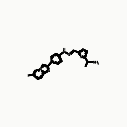 CC(N)c1csc(C=NNc2ccc(-c3cn4cc(I)ccc4n3)cc2)n1